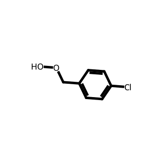 OOCc1ccc(Cl)cc1